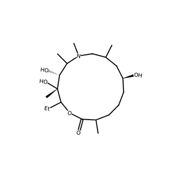 CCC1OC(=O)C(C)CCC[C@H](O)CC(C)CN(C)C(C)[C@@H](O)[C@@]1(C)O